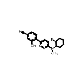 CN(c1ccc(-c2ccc(C#N)cc2O)nn1)[C@@H]1CCCC[C@@H]1F